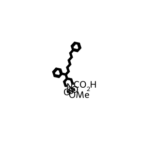 COS(=O)(=O)N1CCC(C(CCCCCCc2ccccc2)c2ccccc2)CC1C(=O)O